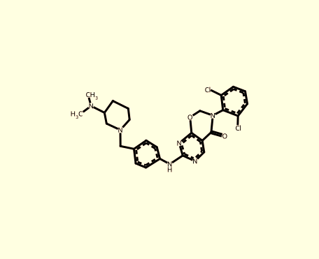 CN(C)C1CCCN(Cc2ccc(Nc3ncc4c(n3)OCN(c3c(Cl)cccc3Cl)C4=O)cc2)C1